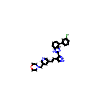 Fc1cccc(-c2cccc3[nH]c(-c4n[nH]cc4/C=C/c4cncc(CN5CCOCC5)c4)nc23)c1